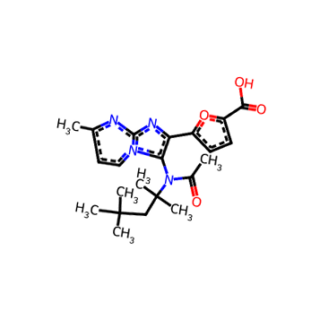 CC(=O)N(c1c(-c2ccc(C(=O)O)o2)nc2nc(C)ccn12)C(C)(C)CC(C)(C)C